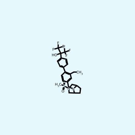 CCc1cc(CN2C3CCC2CN(S(C)(=O)=O)C3)ccc1-c1ccc(C(O)(C(F)(F)F)C(F)(F)F)cc1